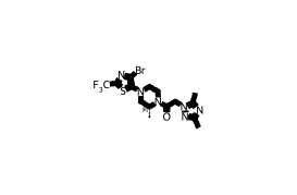 Cc1nc(C)n(CC(=O)N2CCN(c3sc(C(F)(F)F)nc3Br)C[C@H]2C)n1